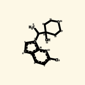 CC(n1cnc2ccc(Cl)nc21)C1(O)CCOCC1